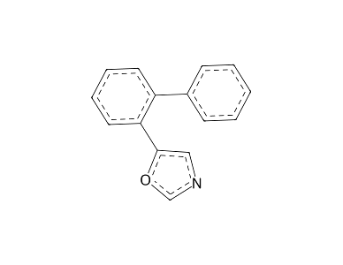 c1ccc(-c2ccccc2-c2cnco2)cc1